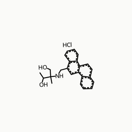 CC(O)C(C)(CO)NCc1cc2c3ccccc3ccc2c2ccccc12.Cl